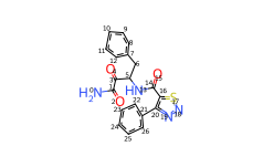 NC(=O)C(=O)C(Cc1ccccc1)NC(=O)c1snnc1-c1ccccc1